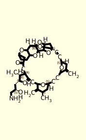 C=C1C[C@@H]2CC[C@@]34C[C@@H]5O[C@H]6[C@@H](O3)C3OC(CCC3O[C@H]6C5O4)CC(=O)C[C@@H]3[C@@H](C)[C@@H](C[C@H](O)CN)O[C@H]3CC3O[C@@H](CCC1O2)C[C@@H](C)C3=C